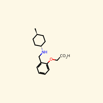 C[C@H]1CC[C@H](NCc2ccccc2OCC(=O)O)CC1